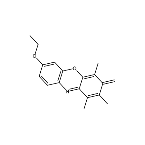 C=c1c(C)c(C)c2c(c1C)Oc1cc(OCC)ccc1N=2